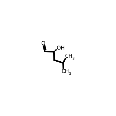 CC(C)C[C@H](O)C=O